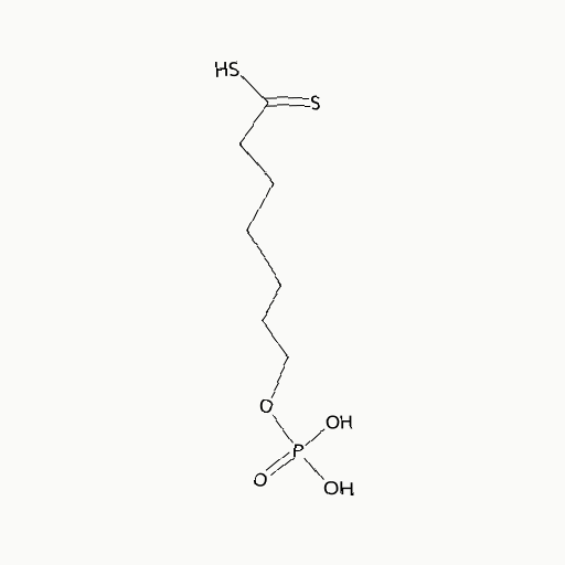 O=P(O)(O)OCCCCCCC(=S)S